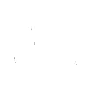 CN(C#N)CCC#N